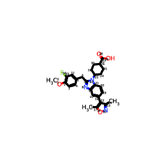 COc1ccc(Cc2nc3cc(-c4c(C)noc4C)ccc3n2C2CCC(C(=O)O)CC2)cc1F